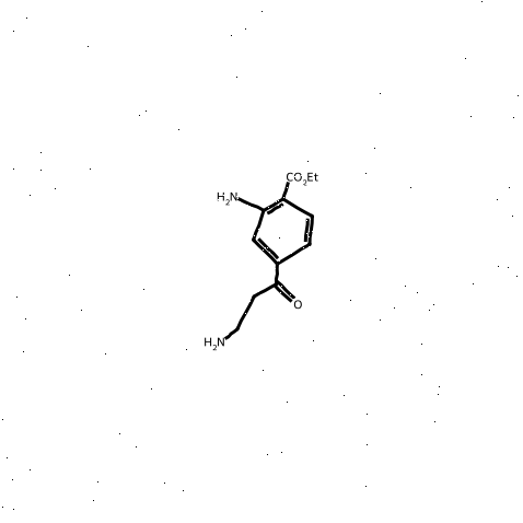 CCOC(=O)c1ccc(C(=O)CCN)cc1N